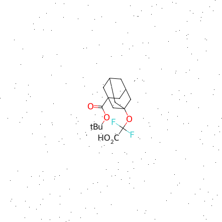 CC(C)(C)OC(=O)C12CC3CC(CC(OC(F)(F)C(=O)O)(C3)C1)C2